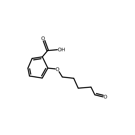 O=CCCCCOc1ccccc1C(=O)O